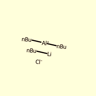 CCC[CH2][Al+][CH2]CCC.[Cl-].[Li][CH2]CCC